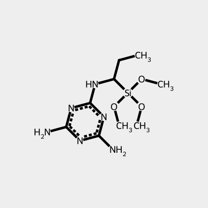 CCC(Nc1nc(N)nc(N)n1)[Si](OC)(OC)OC